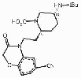 CC(C)(C)N[C@@H]1CC[C@@H](CCN2C(=O)COc3ccc(C#N)cc32)N(C(=O)O)C1